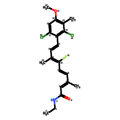 CCNC(=O)C=C(C)C=CC(F)=C(C)C=Cc1c(Cl)cc(OC)c(C)c1Cl